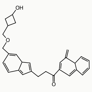 C=C1C=C(C(=O)CCC2=CC3C=C(COCC4CC(O)C4)C=CC3=C2)C=C2C=CC=CC12